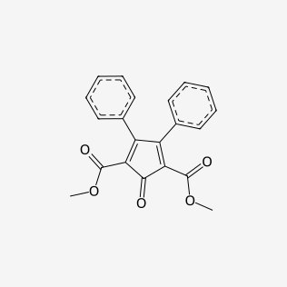 COC(=O)C1=C(c2ccccc2)C(c2ccccc2)=C(C(=O)OC)C1=O